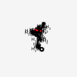 CCCCC(CC)(C1CCCCCCCC1)C1CC(=O)N(CCCCC[C@H](C)N[C@H](C(=O)N[C@@H](CCCNC(N)=O)C(=O)Nc2ccc(COC(=O)N(C)[C@H](C(=O)N[C@H](C(=O)N(C)[C@@H]([C@@H](C)CC)[C@@H](CC(=O)N3CCC[C@H]3[C@H](OC)[C@@H](C)C(=O)N[C@H](C)[C@@H](O)c3ccccc3)OC)C(C)C)C(C)C)cc2)C(C)C)C1=O